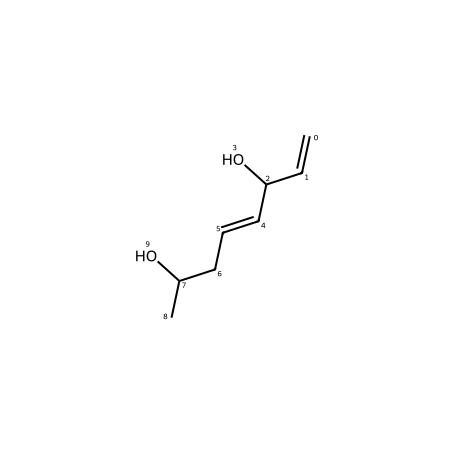 C=CC(O)/C=C/CC(C)O